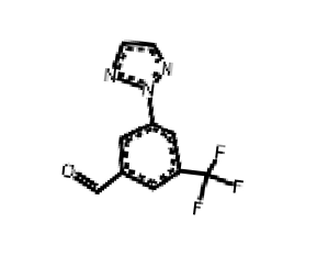 O=Cc1cc(-n2nccn2)cc(C(F)(F)F)c1